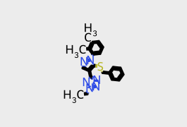 CCn1nnc(-c2cnn(-c3cccc(C)c3C)c2SCc2ccccc2)n1